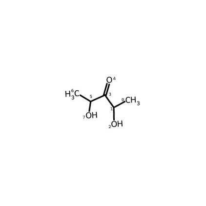 CC(O)C(=O)C(C)O